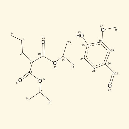 CCCC(C(=O)OC(C)C)C(=O)OC(C)C.COc1cc(C=O)ccc1O